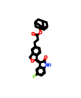 O=C(CCc1ccc2c(c1)COC2=C1C(=O)Nc2ccc(F)cc21)OC12CC3CC(CC(C3)C1)C2